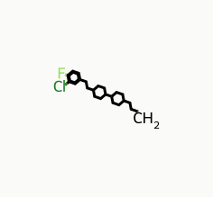 C=CCCC1CCC(C2CCC(CCc3ccc(F)c(Cl)c3)CC2)CC1